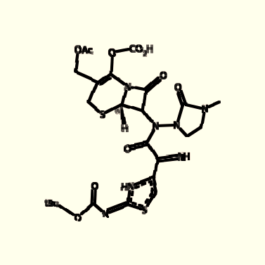 CC(=O)OCC1=C(OC(=O)O)N2C(=O)C(N(C(=O)C(=N)c3csc(=NC(=O)OC(C)(C)C)[nH]3)N3CCN(C)C3=O)[C@@H]2SC1